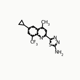 Cc1cc(-c2nnc(N)s2)nc2c(C(F)(F)F)cc(C3CC3)cc12